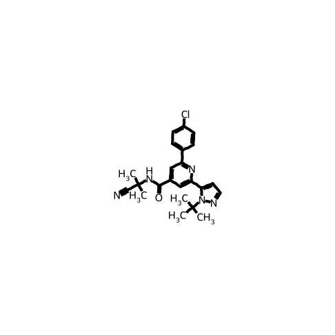 CC(C)(C#N)NC(=O)c1cc(-c2ccc(Cl)cc2)nc(-c2ccnn2C(C)(C)C)c1